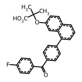 CC(C)(Oc1ccc2cccc(-c3ccc(C(=O)c4ccc(F)cc4)cc3)c2c1)C(=O)O